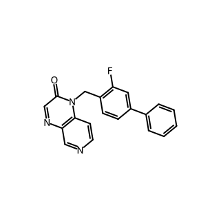 O=c1cnc2cnccc2n1Cc1ccc(-c2ccccc2)cc1F